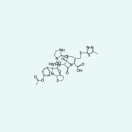 CC(=O)Oc1ccc2cc1N(C1SCCS1)C2(NC(=O)N1CCNC1=O)C(=O)NC1C(=O)N2C(C(=O)O)=C(CSc3nnc(C)s3)CS[C@@H]12